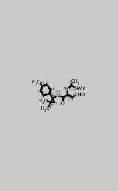 CN/C(C)=N\C(=C/C=O)C(=O)NC1(c2ccc(C(F)(F)F)cc2)CC1(C)C